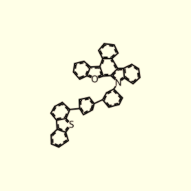 c1cc(-c2ccc(-c3cccc4c3sc3ccccc34)cc2)cc(-n2c3ccccc3c3c4ccccc4c4c5ccccc5oc4c32)c1